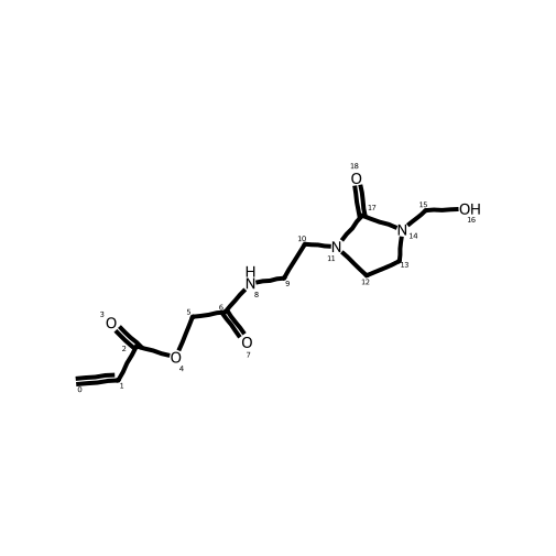 C=CC(=O)OCC(=O)NCCN1CCN(CO)C1=O